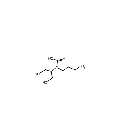 CCCCN(C(=O)O)C(CO)CO